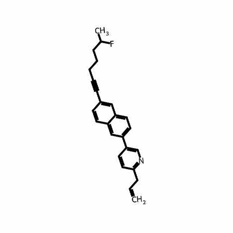 C=CCc1ccc(-c2ccc3cc(C#CCCCC(C)F)ccc3c2)cn1